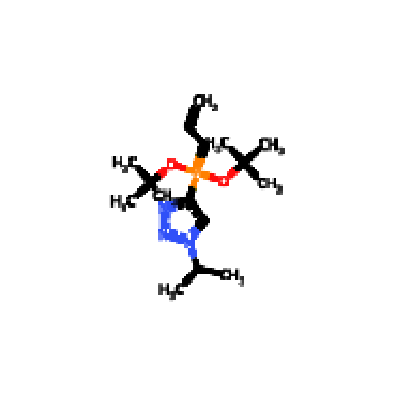 C=CC=P(OC(C)(C)C)(OC(C)(C)C)c1cn(C(C)C)nn1